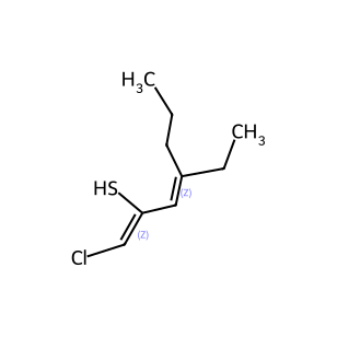 CCC/C(=C\C(S)=C\Cl)CC